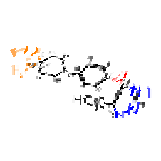 O=C(O)c1nn[nH]c1Oc1ccc(C2CCC(P)(P)CC2)cc1